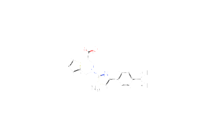 CC(C)c1ccc(-c2csc(N(CCC(=O)[O-])Cc3cccs3)n2)cc1.[Na+]